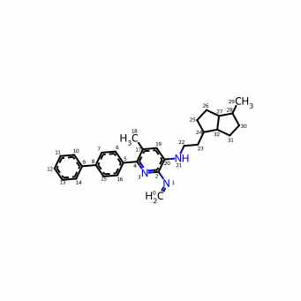 C=Nc1nc(-c2ccc(-c3ccccc3)cc2)c(C)cc1NCCC1CCC2C(C)CCC12